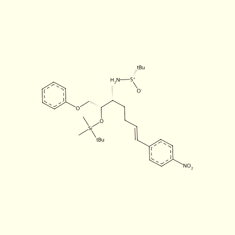 CC(C)(C)[S@@+](N)[O-].C[C@H](CCC=Cc1ccc([N+](=O)[O-])cc1)[C@@H](COc1ccccc1)O[Si](C)(C)C(C)(C)C